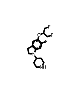 FCC(CF)Oc1cc2c(cc1F)N(C1CCNCC1)CC2